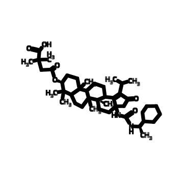 CC(C)C1=C2C3CCC4C5(C)CC[C@H](OC(=O)CC(C)(C)C(=O)O)C(C)(C)C5CCC4(C)[C@]3(C)CCC2(NC(=O)N[C@H](C)C2CCCCC2)CC1=O